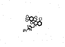 CC(C)c1nc(CN2C(=O)C3(COc4cc5c(cc43)OCO5)c3c(Cl)cccc32)cs1